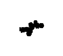 CC1(N[C@@H]2CCN(C(=O)N3CCC(Cn4cnc(-c5ccccc5)cc4=O)C4(CCCC4)C3)[C@H](c3ccccc3)C2)CC1